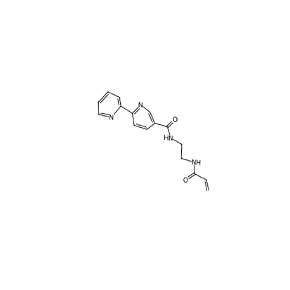 C=CC(=O)NCCNC(=O)c1ccc(-c2ccccn2)nc1